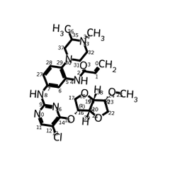 C=CC(=O)Nc1cc(Nc2ncc(Cl)c(O[C@@H]3CO[C@H]4[C@@H]3OC[C@H]4OC)n2)ccc1N1CCN(C)C(C)C1